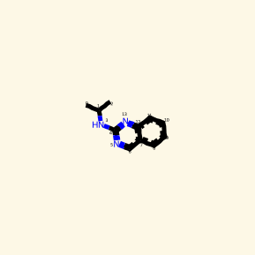 CC(C)Nc1ncc2ccccc2n1